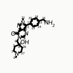 CN1CCC(O)(Cn2cnc3c(-c4ccc(CN)cc4)n(C)nc3c2=O)CC1